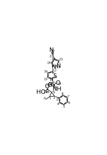 CC1[C@H](c2ccccc2)[C@]1(NS(=O)(=O)c1ccc(-n2cc(C#N)cn2)s1)C(=O)O